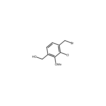 COc1c(CO)ccc(CBr)c1Cl